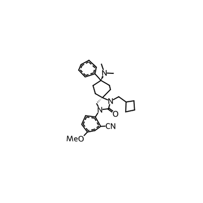 COc1ccc(N2C[C@]3(CC[C@](c4ccccc4)(N(C)C)CC3)N(CC3CCC3)C2=O)c(C#N)c1